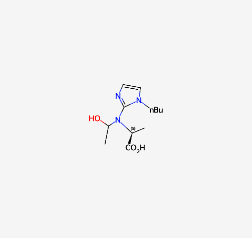 CCCCn1ccnc1N(C(C)O)[C@@H](C)C(=O)O